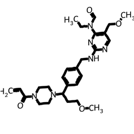 C=CC(=O)N1CCN(C(CCOC)c2ccc(CNc3ncc(COC)c(N(C=O)CC)n3)cc2)CC1